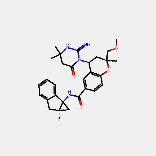 COCC1(C)CC(N2C(=N)NC(C)(C)CC2=O)c2cc(C(=O)N[C@@]34C[C@@]3(C)Cc3ccccc34)ccc2O1